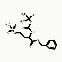 CC(C)(C)OC(=O)NC(CCOS(C)(=O)=O)C(=O)OCc1ccccc1